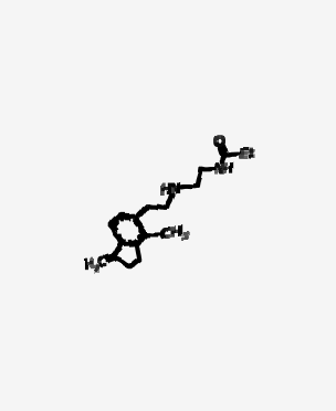 C=C1CCc2c1ccc(CCNCCNC(=O)CC)c2C